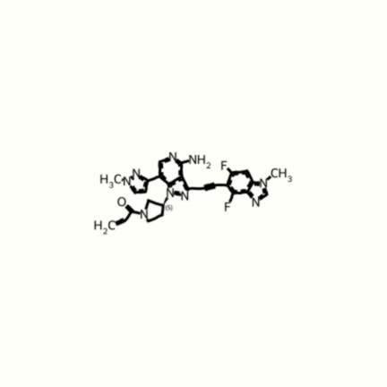 C=CC(=O)N1CC[C@H](n2nc(C#Cc3c(F)cc4c(ncn4C)c3F)c3c(N)ncc(-c4ccn(C)n4)c32)C1